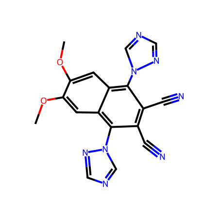 COc1cc2c(-n3cncn3)c(C#N)c(C#N)c(-n3cncn3)c2cc1OC